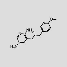 COc1ccc(CCCC2=C(N)N=CN(N)C2)cc1